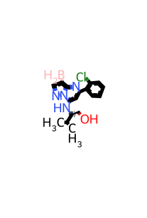 Bc1cnn2c(N[C@@H](CO)C(C)C)cc(-c3ccccc3Cl)nc12